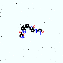 COc1nc(-c2cccc(-c3cccc(NC(=O)c4ccnn(C)c4=O)c3C)c2F)cc2c1C(NCC1CCC(=O)N1)CC2